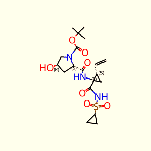 C=C[C@@H]1C[C@]1(NC(=O)[C@@H]1C[C@@H](O)CN1C(=O)OC(C)(C)C)C(=O)NS(=O)(=O)C1CC1